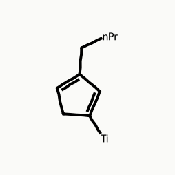 CCCCC1=CC[C]([Ti])=C1